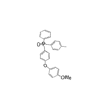 COc1ccc(Oc2ccc(P(=O)(c3ccccc3)c3ccc(C)cc3)cc2)cc1